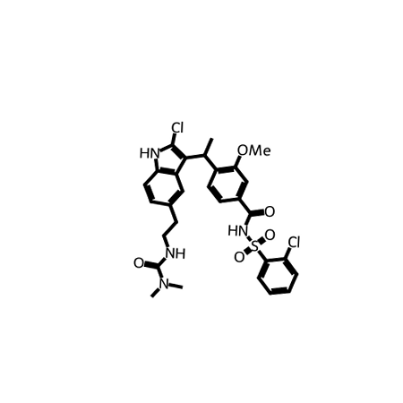 COc1cc(C(=O)NS(=O)(=O)c2ccccc2Cl)ccc1C(C)c1c(Cl)[nH]c2ccc(CCNC(=O)N(C)C)cc12